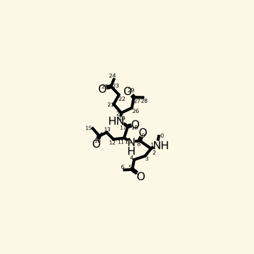 CNC(CCC(C)=O)C(=O)NC(CCC(C)=O)C(=O)NC(CCC(C)=O)CC(C)=O